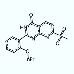 CCCOc1ccccc1-c1nc2nc(S(C)(=O)=O)ncc2c(=O)[nH]1